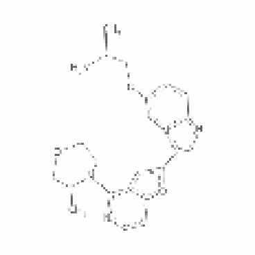 C[C@H](N)COc1ccc2ncc(-c3cc4c(N5CCOC[C@@H]5C)nccc4o3)n2n1